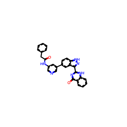 O=C(Cc1ccccc1)Nc1cncc(-c2ccc3[nH]nc(-c4nc(=O)c5ccccc5[nH]4)c3c2)c1